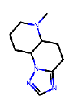 CN1CCCC2C1CCc1ncnn12